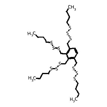 CCCCSSSCc1ccc(CSSSCCCC)c(CSSSCCCC)c1CSSSCCCC